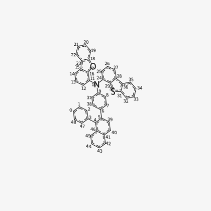 c1ccc(-c2c(-c3ccc(N(c4cccc5c4oc4ccccc45)c4cccc5c4sc4ccccc45)cc3)ccc3ccccc23)cc1